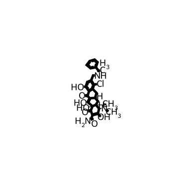 CC(NCc1cc(O)c2c(c1Cl)C[C@H]1C[C@H]3[C@H](N(C)C)C(O)=C(C(N)=O)C(=O)[C@@]3(O)C(O)=C1C2=O)c1ccccc1